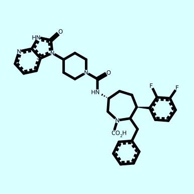 O=C(N[C@@H]1CC[C@@H](c2cccc(F)c2F)C(Cc2ccccc2)N(C(=O)O)C1)N1CCC(n2c(=O)[nH]c3ncccc32)CC1